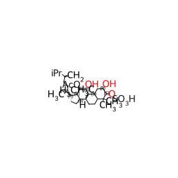 C=C(CC[C@@H](C)[C@H]1CC[C@H]2C3=C([C@@H](O)[C@H](OC(C)=O)[C@]12C)[C@@]1(C)C[C@@H](O)[C@@H](OS(=O)(=O)O)C(C)(C)C1CC3)C(C)C